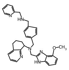 COc1cccc2[nH]c(CN(Cc3ccc(CNCc4ccccn4)cc3)C3CCCc4cccnc43)nc12